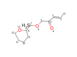 CC=CC(=O)CO[SiH2]C1CCCCO1